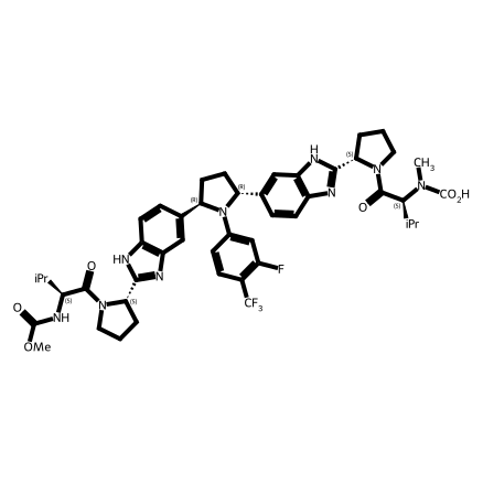 COC(=O)N[C@H](C(=O)N1CCC[C@H]1c1nc2cc([C@H]3CC[C@H](c4ccc5nc([C@@H]6CCCN6C(=O)[C@H](C(C)C)N(C)C(=O)O)[nH]c5c4)N3c3ccc(C(F)(F)F)c(F)c3)ccc2[nH]1)C(C)C